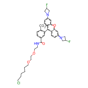 O=C(NCCOCCOCCCCCCCl)c1ccc(C(=O)O)c(-c2c3ccc(=[N+]4CC(F)C4)cc-3oc3cc(N4CC(F)C4)ccc23)c1